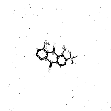 C[Si](C)(C)c1ccc2c(c1N)C(=O)c1c(N)cccc1C2=O